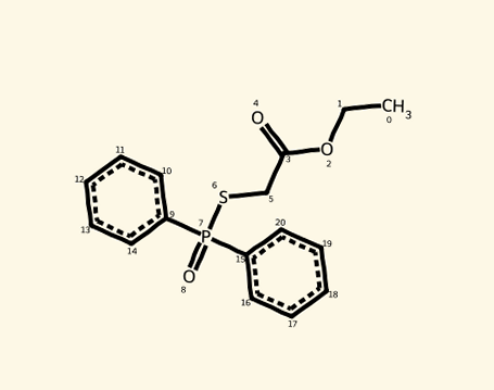 CCOC(=O)CSP(=O)(c1ccccc1)c1ccccc1